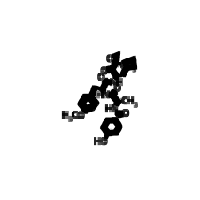 COc1ccc(C[C@H](NC(=O)[C@H](C)NC(=O)[C@H]2CC[C@H](O)CC2)C(=O)N[C@@H](CC2CCC2)C(=O)[C@@]2(C)CO2)cc1